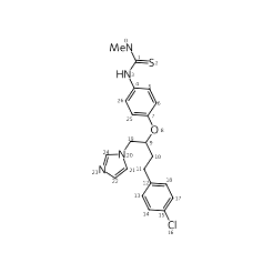 CNC(=S)Nc1ccc(OC(CCc2ccc(Cl)cc2)Cn2ccnc2)cc1